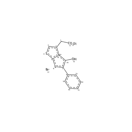 CCOC(=O)Cc1csc2sc(-c3ccccc3)c(O)[n+]12.[Br-]